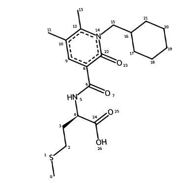 CSCC[C@@H](NC(=O)c1cc(C)c(C)n(CC2CCCCC2)c1=O)C(=O)O